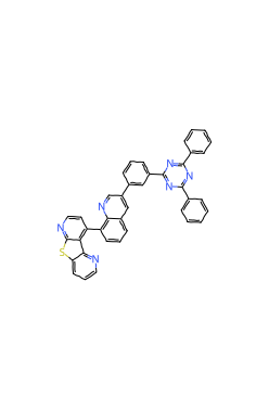 c1ccc(-c2nc(-c3ccccc3)nc(-c3cccc(-c4cnc5c(-c6ccnc7sc8cccnc8c67)cccc5c4)c3)n2)cc1